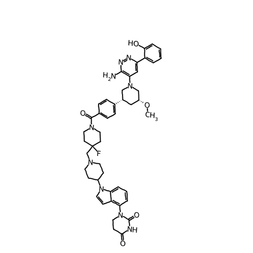 CO[C@@H]1C[C@H](c2ccc(C(=O)N3CCC(F)(CN4CCC(n5ccc6c(N7CCC(=O)NC7=O)cccc65)CC4)CC3)cc2)CN(c2cc(-c3ccccc3O)nnc2N)C1